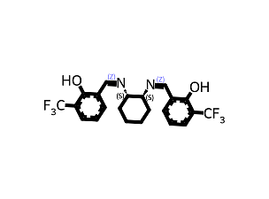 Oc1c(/C=N\[C@H]2CCCC[C@@H]2/N=C\c2cccc(C(F)(F)F)c2O)cccc1C(F)(F)F